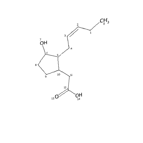 CC/C=C\CC1C(O)CCC1CC(=O)O